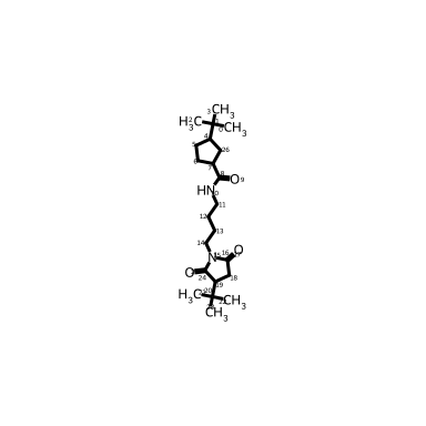 CC(C)(C)C1CCC(C(=O)NCCCCN2C(=O)CC(C(C)(C)C)C2=O)C1